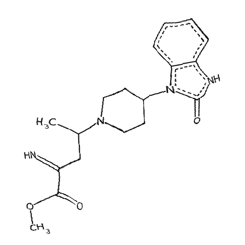 COC(=O)C(=N)CC(C)N1CCC(n2c(=O)[nH]c3ccccc32)CC1